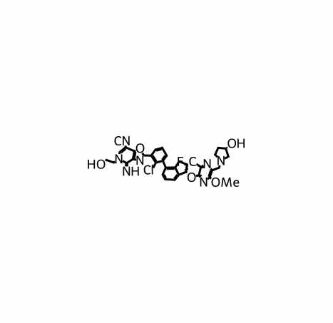 COc1nc(O[C@H]2CCc3c(-c4cccc(-c5nc6c(=N)n(CCO)cc(C#N)c6o5)c4Cl)cccc32)c(C(F)(F)F)nc1CN1CC[C@@H](O)C1